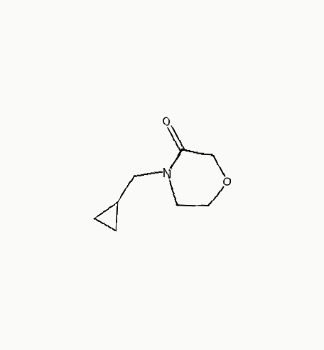 O=C1COCCN1CC1CC1